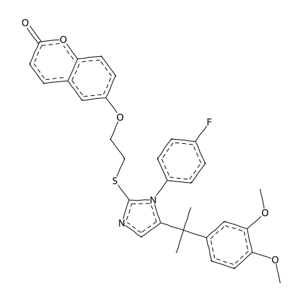 COc1ccc(C(C)(C)c2cnc(SCCOc3ccc4oc(=O)ccc4c3)n2-c2ccc(F)cc2)cc1OC